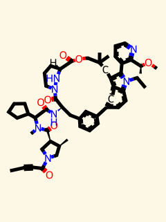 CC#CC(=O)N1C[C@H](C)[C@H](C(=O)N(C)C(C(=O)N[C@H]2Cc3cccc(c3)-c3ccc4c(c3)c(c(-c3cccnc3[C@H](C)OC)n4CC)CC(C)(C)COC(=O)[C@@H]3CCCN(N3)C2=O)C2CCCC2)C1